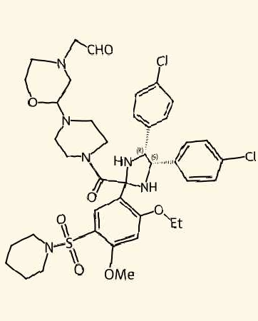 CCOc1cc(OC)c(S(=O)(=O)N2CCCCC2)cc1C1(C(=O)N2CCN(C3CN(CC=O)CCO3)CC2)N[C@H](c2ccc(Cl)cc2)[C@H](c2ccc(Cl)cc2)N1